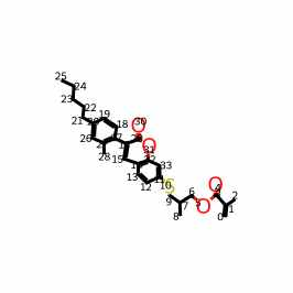 C=C(C)C(=O)OCC(C)CSc1ccc2cc(-c3ccc(CCCCC)cc3C)c(=O)oc2c1